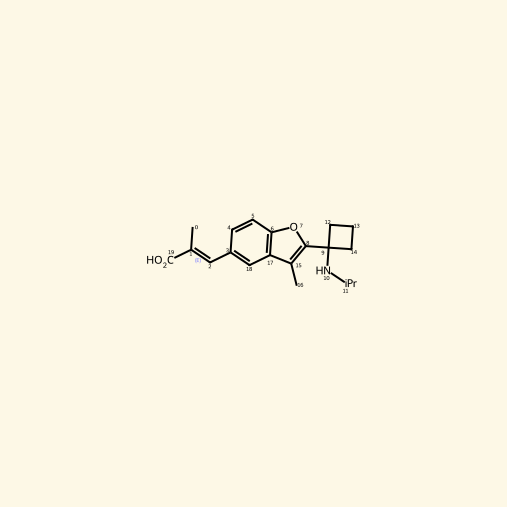 C/C(=C\c1ccc2oc(C3(NC(C)C)CCC3)c(C)c2c1)C(=O)O